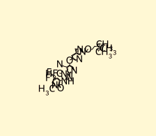 Cn1cc(C(F)(F)F)cc(Nc2nc3ncc(Oc4cnc5c(cnn5COCC[Si](C)(C)C)c4)c(C#N)c3n2C)c1=O